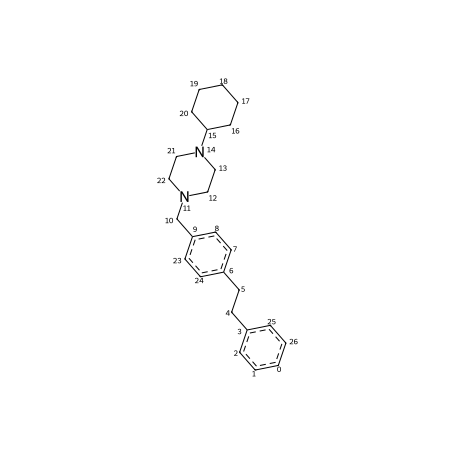 c1ccc(CCc2ccc(CN3CCN(C4CCCCC4)CC3)cc2)cc1